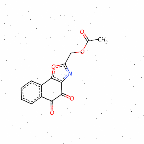 CC(=O)OCc1nc2c(o1)-c1ccccc1C(=O)C2=O